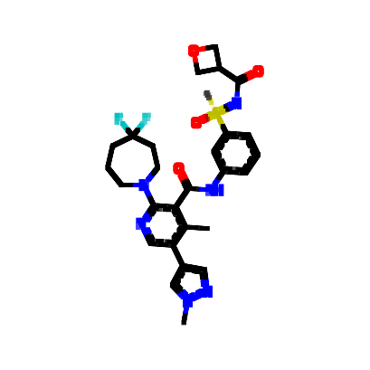 Cc1c(-c2cnn(C)c2)cnc(N2CCCC(F)(F)CC2)c1C(=O)Nc1cccc([S@@](C)(=O)=NC(=O)C2COC2)c1